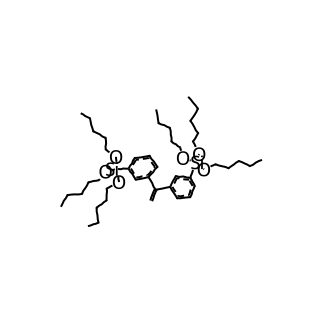 C=C(c1cccc([Si](OCCCCC)(OCCCCC)OCCCCC)c1)c1cccc([Si](OCCCCC)(OCCCCC)OCCCCC)c1